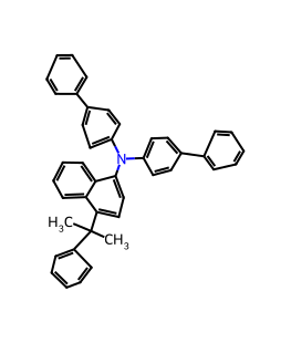 CC(C)(c1ccccc1)c1ccc(N(c2ccc(-c3ccccc3)cc2)c2ccc(-c3ccccc3)cc2)c2ccccc12